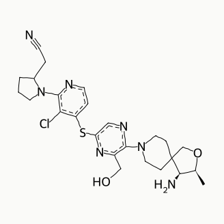 C[C@@H]1OCC2(CCN(c3ncc(Sc4ccnc(N5CCCC5CC#N)c4Cl)nc3CO)CC2)[C@@H]1N